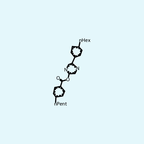 CCCCCCc1ccc(-c2cnc(OC(=O)c3ccc(CCCCC)cc3)cn2)cc1